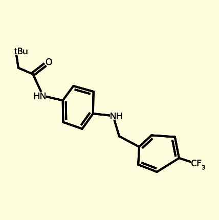 CC(C)(C)CC(=O)Nc1ccc(NCc2ccc(C(F)(F)F)cc2)cc1